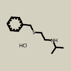 CC(C)NCCSCc1ccccc1.Cl